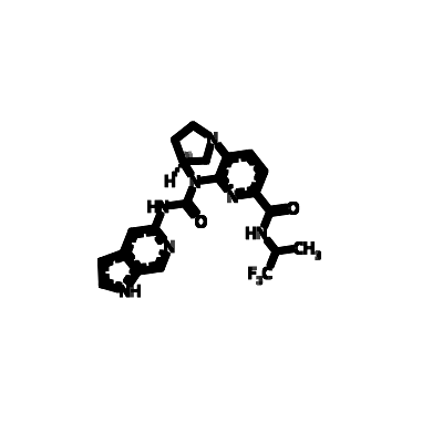 CC(NC(=O)c1ccc2c(n1)N(C(=O)Nc1cc3cc[nH]c3cn1)[C@H]1CCN2C1)C(F)(F)F